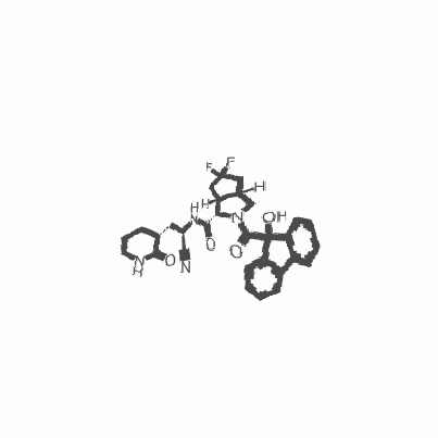 N#C[C@@H](C[C@H]1CCCNC1=O)NC(=O)[C@@H]1[C@@H]2CC(F)(F)C[C@@H]2CN1C(=O)C1(O)c2ccccc2-c2ccccc21